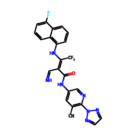 N#Cc1cc(NC(=O)/C(C=N)=C(/Nc2cccc3c(F)cccc23)C(F)(F)F)cnc1-n1nccn1